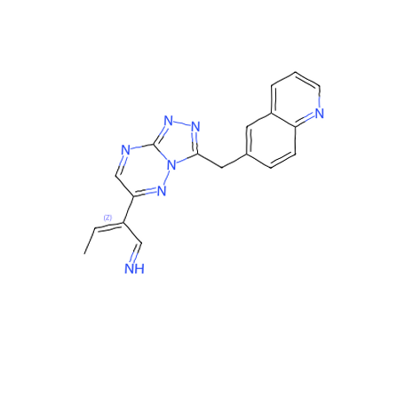 C/C=C(\C=N)c1cnc2nnc(Cc3ccc4ncccc4c3)n2n1